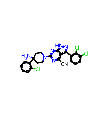 N#Cc1nc(N2CCC(N)(c3ccccc3Cl)CC2)nc2[nH]nc(-c3cccc(Cl)c3Cl)c12